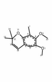 COc1cc2c(c(C)c1OC)OC(C)(C)C=C2